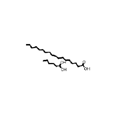 CCCCCC(O)O.CCCCCCCCCCCCCCCCCC(=O)O